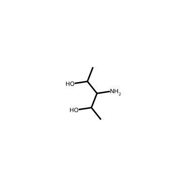 CC(O)C(N)C(C)O